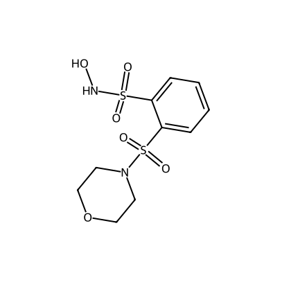 O=S(=O)(NO)c1ccccc1S(=O)(=O)N1CCOCC1